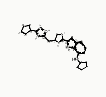 c1cc(NC2CCCC2)c2[nH]c(C3=NC(Cc4nc(C5CCCC5)no4)CS3)cc2c1